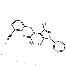 CC(=O)N(Cc1cccc(C#N)c1)c1c(C)nn(-c2ccccc2)c1C